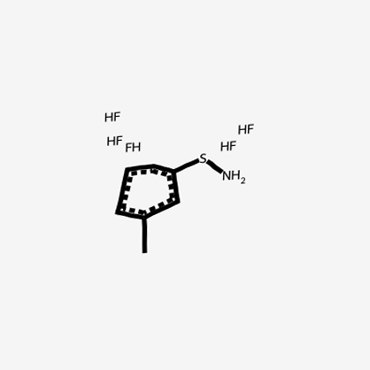 Cc1cccc(SN)c1.F.F.F.F.F